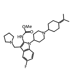 COC(=O)Nc1c(CN2CCCC2)c2cc(F)ccc2n1C1CCN(C2CCC(=C(C)C)CC2)CC1